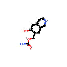 NC(=O)OCc1cc2cnccc2cc1O